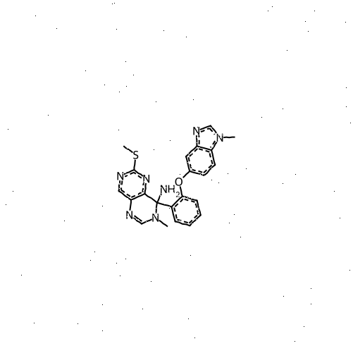 CSc1ncc2c(n1)C(N)(c1ccccc1Oc1ccc3c(c1)ncn3C)N(C)C=N2